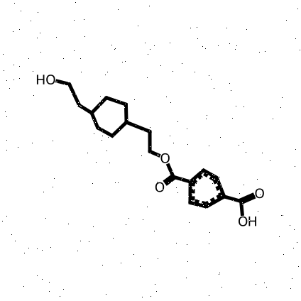 O=C(O)c1ccc(C(=O)OCCC2CCC(CCO)CC2)cc1